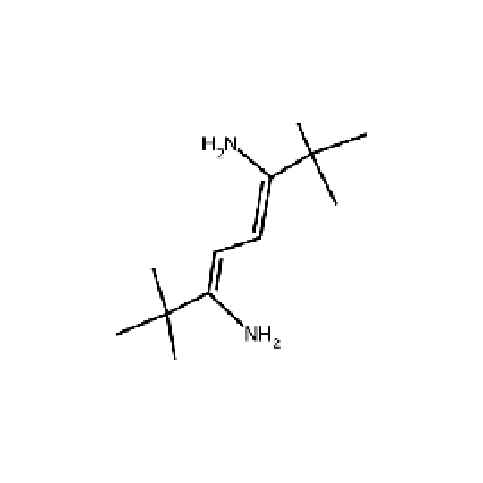 CC(C)(C)/C(N)=C/C=C(\N)C(C)(C)C